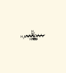 CCCCCCOC(=O)C(N)CCCCN.N=C=O